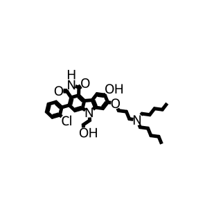 CCCCCN(CCCCC)CCCOc1cc2c(cc1O)c1c3c(c(-c4ccccc4Cl)cc1n2CCO)C(=O)NC3=O